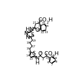 O=C(CC(C(=O)O)c1ccccc1)Nc1ccc(CCCCc2nnc(NC(=O)CC(C(=O)O)c3ccccc3)s2)s1